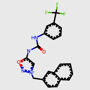 O=C([N-]c1c[n+](Cc2ccc3ccccc3c2)no1)Nc1cccc(C(F)(F)F)c1